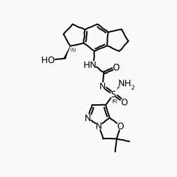 CC1(C)Cn2ncc([S@](N)(=O)=NC(=O)Nc3c4c(cc5c3[C@@H](CO)CC5)CCC4)c2O1